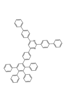 c1ccc(-c2ccc(-c3cc(-c4ccc(-c5cc(-c6ccccc6)c(-c6ccccc6)c(-c6ccccc6)c5-c5ccccc5)cc4)nc(-c4ccc(-c5ccccc5)cc4)n3)cc2)cc1